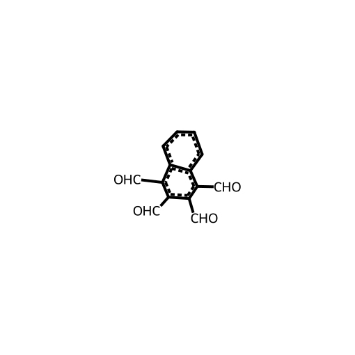 O=Cc1c(C=O)c(C=O)c2ccccc2c1C=O